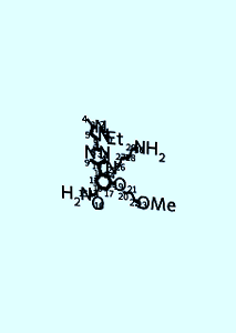 CCn1nc(C)cc1-c1ncc2c3cc(C(N)=O)cc(OCCCOC)c3n(CC=CCN)c2n1